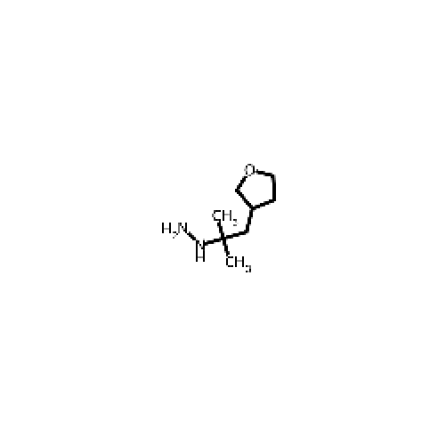 CC(C)(CC1CCOC1)NN